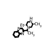 CC[C@@H]1CN[C@@H](C)CN1C(C)c1cnc2ccccc2n1